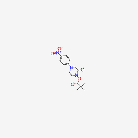 CC(C)(C)C(=O)ON1CCN(c2ccc([N+](=O)[O-])cc2)CC1Cl